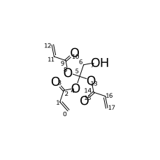 C=CC(=O)OC(CO)(OC(=O)C=C)OC(=O)C=C